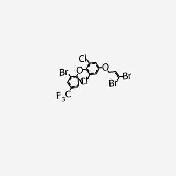 FC(F)(F)c1cnc(Oc2c(Cl)cc(OCC=C(Br)Br)cc2Cl)c(Br)c1